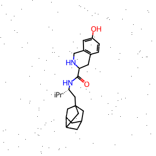 CC(C)[C@@H](CC12CC3CC(C1)C(C3)C2)NC(=O)C1Cc2ccc(O)cc2CN1